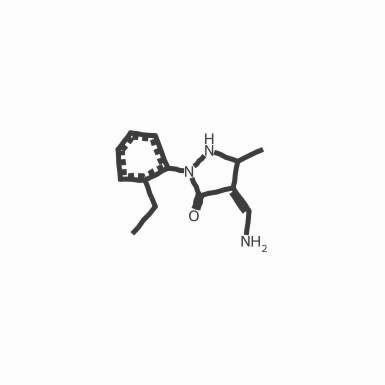 CCc1ccccc1N1NC(C)C(=CN)C1=O